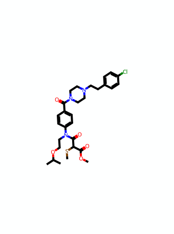 COC(=O)C(SC)C(=O)N(CCOC(C)C)c1ccc(C(=O)N2CCN(CCc3ccc(Cl)cc3)CC2)cc1